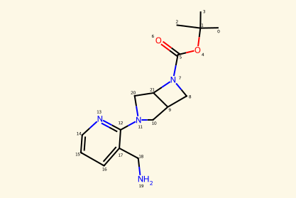 CC(C)(C)OC(=O)N1CC2CN(c3ncccc3CN)CC21